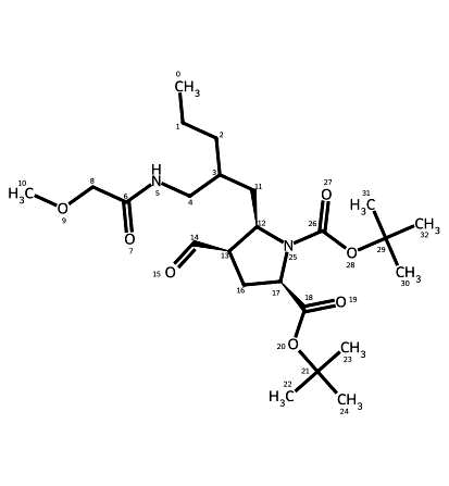 CCCC(CNC(=O)COC)C[C@@H]1[C@H](C=O)C[C@H](C(=O)OC(C)(C)C)N1C(=O)OC(C)(C)C